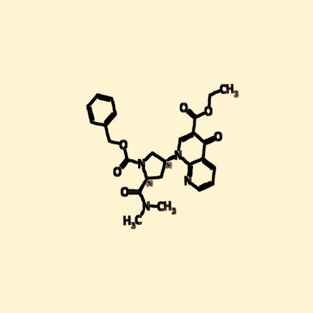 CCOC(=O)c1cn([C@H]2C[C@@H](C(=O)N(C)C)N(C(=O)OCc3ccccc3)C2)c2ncccc2c1=O